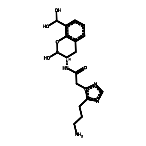 NCCCc1ncnn1CC(=O)N[C@H]1Cc2cccc(C(O)O)c2OB1O